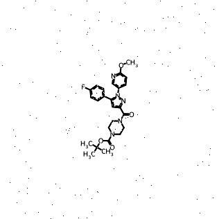 COc1ccc(-n2nc(C(=O)N3CCN(C(=O)OC(C)(C)C)CC3)cc2-c2ccc(F)cc2)cn1